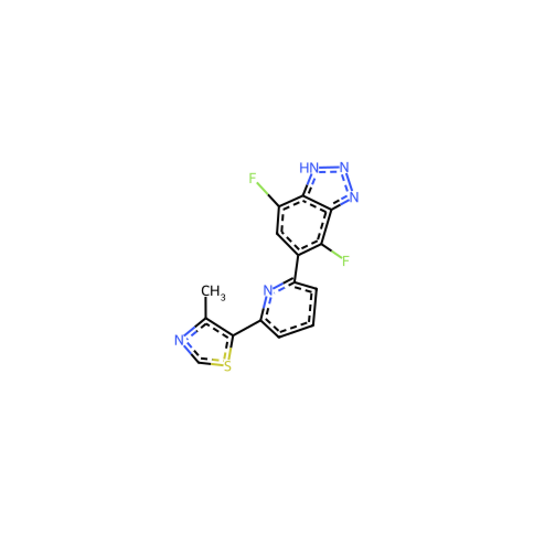 Cc1ncsc1-c1cccc(-c2cc(F)c3[nH]nnc3c2F)n1